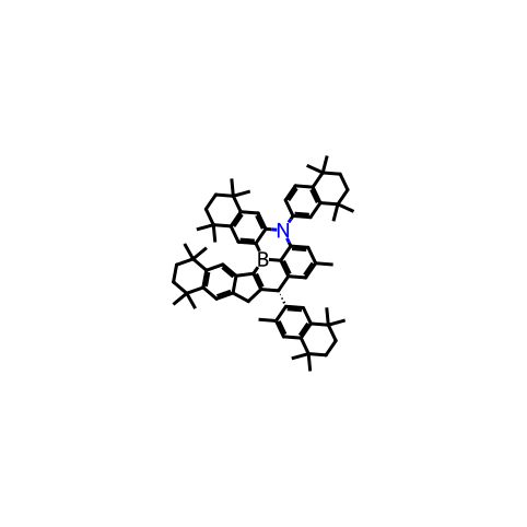 Cc1cc2c3c(c1)N(c1ccc4c(c1)C(C)(C)CCC4(C)C)c1cc4c(cc1B3C1=C(Cc3cc5c(cc31)C(C)(C)CCC5(C)C)[C@H]2c1cc2c(cc1C)C(C)(C)CCC2(C)C)C(C)(C)CCC4(C)C